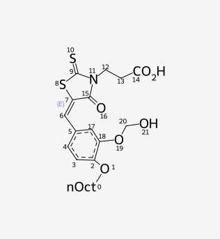 CCCCCCCCOc1ccc(/C=C2/SC(=S)N(CCC(=O)O)C2=O)cc1OCO